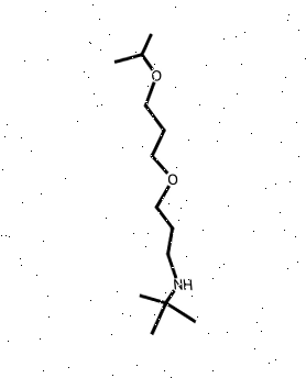 CC(C)OCCCOCCCNC(C)(C)C